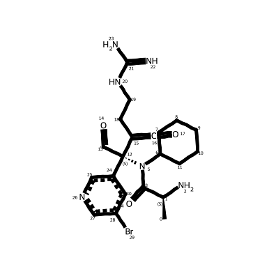 C[C@H](N)C(=O)N(C1CCCCC1)[C@]([C]=O)(C(=C=O)CCNC(=N)N)c1cncc(Br)c1